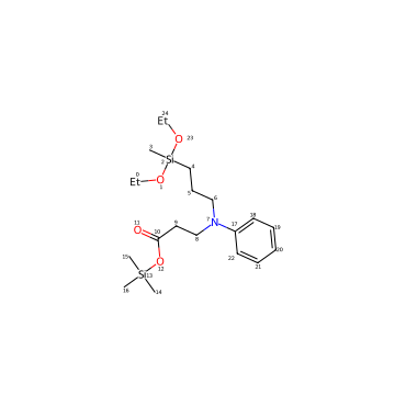 CCO[Si](C)(CCCN(CCC(=O)O[Si](C)(C)C)c1ccccc1)OCC